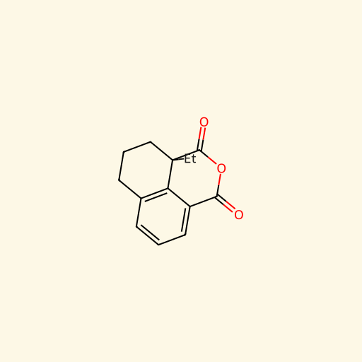 CCC12CCCc3cccc(c31)C(=O)OC2=O